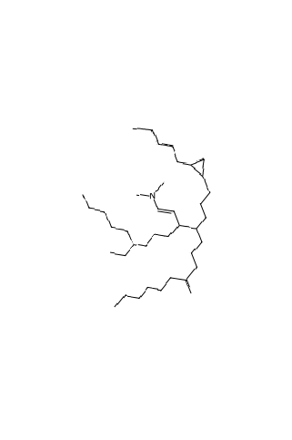 CCCCCCC(C)CCCC(CCCC1CC1CCCCC)C(/C=C/N(C)C)CCCC(CC)CCCCC